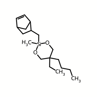 CCCCC1(CC)CO[Si](C)(CC2CC3C=CC2C3)OC1